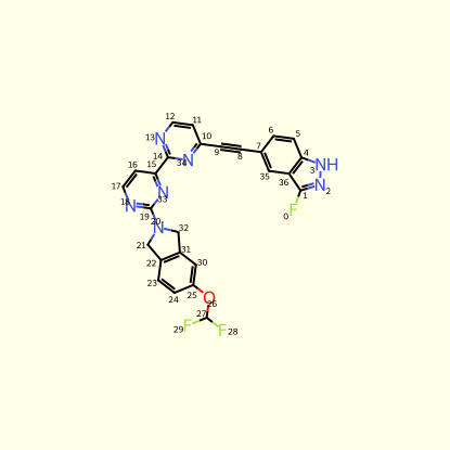 Fc1n[nH]c2ccc(C#Cc3ccnc(-c4ccnc(N5Cc6ccc(OC(F)F)cc6C5)n4)n3)cc12